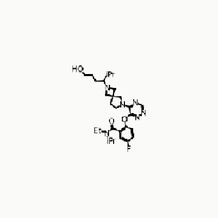 CCN(C(=O)c1cc(F)ccc1Oc1nncnc1N1CCC2(C1)CN(C(CCCO)C(C)C)C2)C(C)C